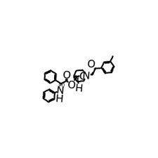 Cc1cccc(C(=O)C[N+]23CCC(CC2)[C@@H](OC(=O)[C@H](Nc2ccccc2)c2ccccc2)C3)c1